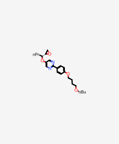 CCCCOCCCCOc1ccc(-c2ncc(OC(CCC)[C@@H]3CO3)cn2)cc1